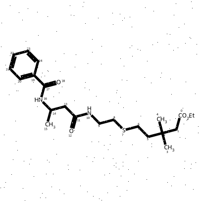 CCOC(=O)CC(C)(C)CCSCCNC(=O)CC(C)NC(=O)c1ccccc1